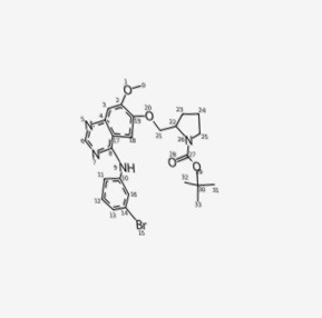 COc1cc2ncnc(Nc3cccc(Br)c3)c2cc1OCC1CCCN1C(=O)OC(C)(C)C